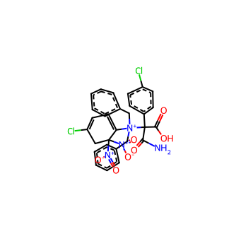 NC(=O)C(C(=O)O)(c1ccc(Cl)cc1)[N+](Cc1ccccc1)(Cc1ccccc1)C1=CC=C(Cl)CC1([N+](=O)[O-])[N+](=O)[O-]